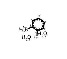 Bc1ccccc1F.O.O